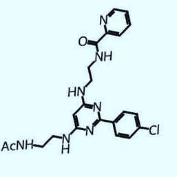 CC(=O)NCCNc1cc(NCCNC(=O)c2ccccn2)nc(-c2ccc(Cl)cc2)n1